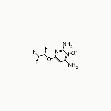 Nc1cc(OC(F)C(F)F)nc(N)[n+]1[O-]